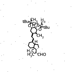 C=C1/C(=C\C=C2/CCC[C@]3(C)[C@@H]([C@@H](C)C=O)CC[C@@H]23)C[C@@H](O[Si](C)(C)C(C)(C)C)C[C@@H]1O[Si](C)(C)C(C)(C)C